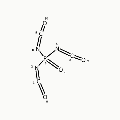 O=C=NP(=O)(N=C=O)N=C=O